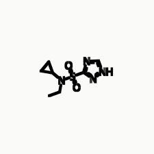 CCN(C1CC1)S(=O)(=O)c1nc[nH]n1